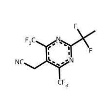 CC(F)(F)c1nc(C(F)(F)F)c(CC#N)c(C(F)(F)F)n1